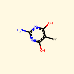 CC(C)c1c(O)nc(N)nc1O